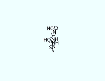 C#Cc1nc(NC(=O)NC(CO)C2CCN(c3ccccc3C#N)CC2)cs1